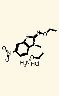 CCON.CCON=c1sc2cc([N+](=O)[O-])ccc2n1C.Cl